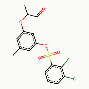 Cc1cc(OC(C)C=O)cc(OS(=O)(=O)c2cccc(Cl)c2Cl)c1